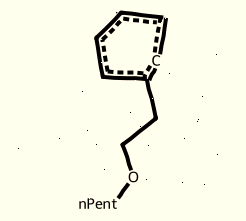 CCCCCOCCc1cc[c]cc1